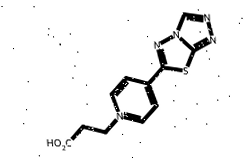 O=C(O)CC[n+]1ccc(-c2nn3cnnc3s2)cc1